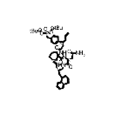 C=CC[C@H](CNC(=O)[C@H](CC(N)=O)NC(=O)C1(NC(=O)C[C@H](CC=C)c2ccc(CP(=O)(OOC(C)(C)C)OOC(C)(C)C)cc2)CCCCC1)Cc1cccc2ccccc12